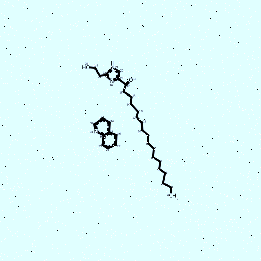 CCCCCCCCCCCCCCCCCC(=O)c1c[nH]c(CCO)n1.c1ccc2ncccc2c1